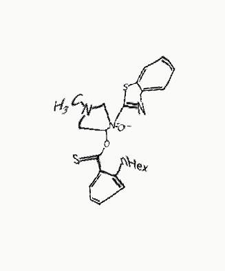 CCCCCCc1ccccc1C(=S)OC1CN(C)C[N+]1([O-])c1nc2ccccc2s1